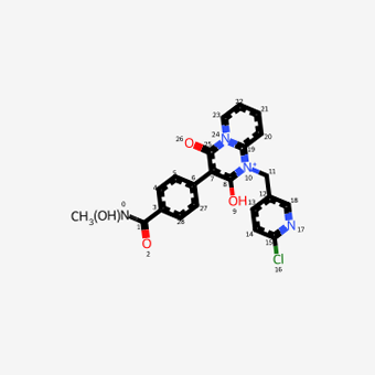 CN(O)C(=O)c1ccc(-c2c(O)[n+](Cc3ccc(Cl)nc3)c3ccccn3c2=O)cc1